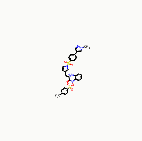 Cc1ccc(S(=O)(=O)ON(C(=O)C=Cc2ccn(S(=O)(=O)c3ccc(-c4cnn(C)c4)cc3)c2)c2ccccc2N)cc1